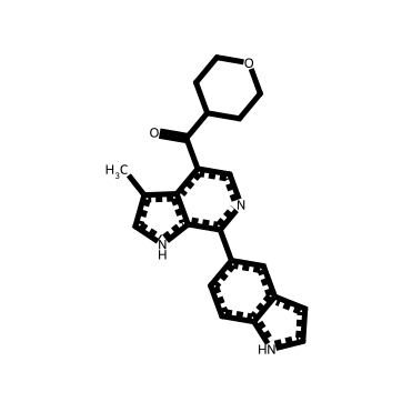 Cc1c[nH]c2c(-c3ccc4[nH]ccc4c3)ncc(C(=O)C3CCOCC3)c12